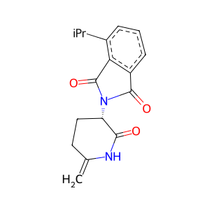 C=C1CC[C@H](N2C(=O)c3cccc(C(C)C)c3C2=O)C(=O)N1